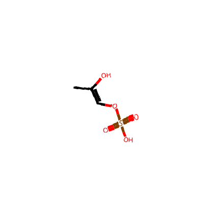 CC(O)=COS(=O)(=O)O